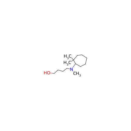 CN(CCCCO)C1CCCCCC1(C)C